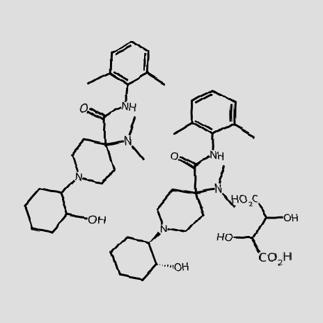 Cc1cccc(C)c1NC(=O)C1(N(C)C)CCN(C2CCCCC2O)CC1.Cc1cccc(C)c1NC(=O)C1(N(C)C)CCN([C@@H]2CCCC[C@H]2O)CC1.O=C(O)C(O)C(O)C(=O)O